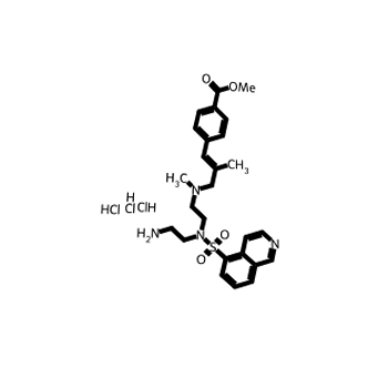 COC(=O)c1ccc(C=C(C)CN(C)CCN(CCN)S(=O)(=O)c2cccc3cnccc23)cc1.Cl.Cl.Cl